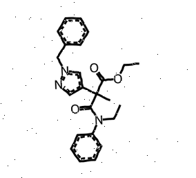 CCOC(=O)C(C)(C(=O)N(CC)c1ccccc1)c1cnn(Cc2ccccc2)c1